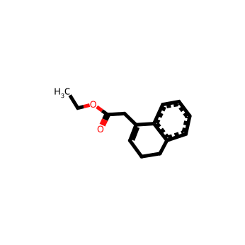 CCOC(=O)CC1=CCCc2ccccc21